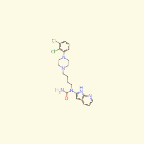 NC(=O)N(CCCCN1CCN(c2cccc(Cl)c2Cl)CC1)c1cc2cccnc2[nH]1